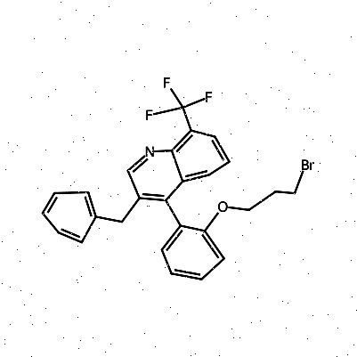 FC(F)(F)c1cccc2c(-c3ccccc3OCCCBr)c(Cc3ccccc3)cnc12